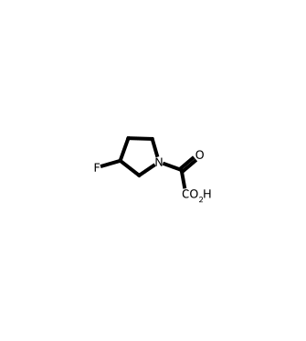 O=C(O)C(=O)N1CCC(F)C1